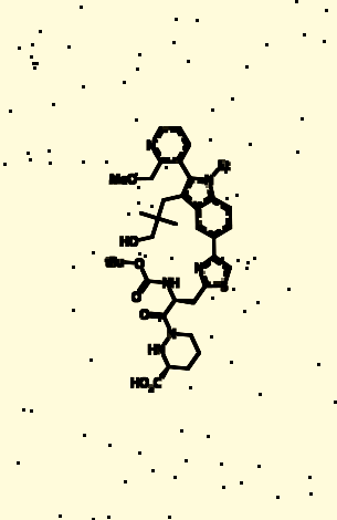 CCn1c(-c2cccnc2COC)c(CC(C)(C)CO)c2cc(-c3csc(C[C@H](NC(=O)OC(C)(C)C)C(=O)N4CCC[C@@H](C(=O)O)N4)n3)ccc21